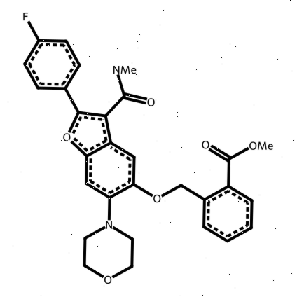 CNC(=O)c1c(-c2ccc(F)cc2)oc2cc(N3CCOCC3)c(OCc3ccccc3C(=O)OC)cc12